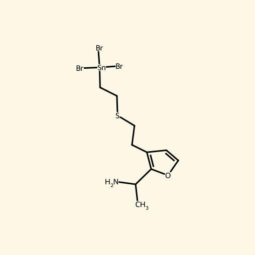 CC(N)c1occc1CCSC[CH2][Sn]([Br])([Br])[Br]